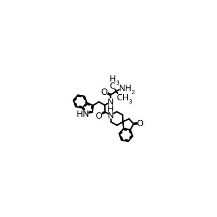 CC(C)(N)C(=O)NC(Cc1c[nH]c2ccccc12)C(=O)N1CCC2(CC1)CC(=O)c1ccccc12